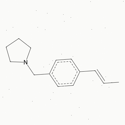 C/C=C/c1ccc(CN2CCCC2)cc1